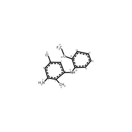 Cc1c(N)cc(Cl)cc1Nc1ccccc1OC(F)(F)F